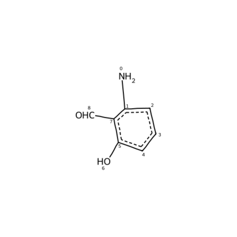 Nc1cccc(O)c1C=O